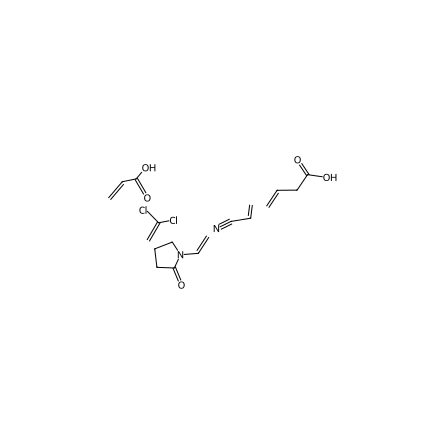 C=C(Cl)Cl.C=CC#N.C=CC(=O)O.C=CCC(=O)O.C=CN1CCCC1=O